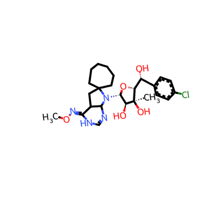 CO/N=C1\NC=NC2C1CC1(CCCCCC1)N2[C@@H]1O[C@H]([C@H](O)c2ccc(Cl)cc2)[C@@](C)(O)[C@H]1O